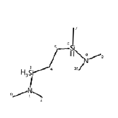 CN(C)[SiH2]CC[SiH](C)N(C)C